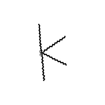 CCCCCCCCCCCCCCCCCC[O][Ti](=[O])([CH2]CCCCCCCCCCCCCCCCC)([CH2]CCCCCCCCCCCCCCCCC)[O]CCCCCCCCCCCCCCCCCC